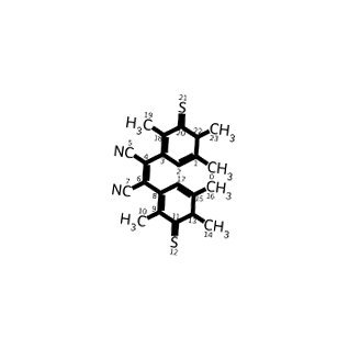 CC1=CC(C(C#N)=C(C#N)C2=C(C)C(=S)C(C)C(C)=C2)=C(C)C(=S)C1C